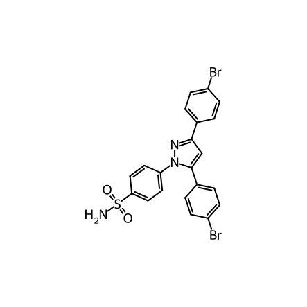 NS(=O)(=O)c1ccc(-n2nc(-c3ccc(Br)cc3)cc2-c2ccc(Br)cc2)cc1